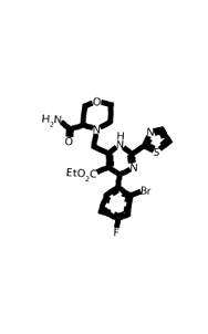 CCOC(=O)C1=C(CN2CCOCC2C(N)=O)NC(c2nccs2)=NC1c1ccc(F)cc1Br